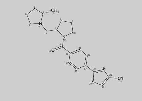 C[C@H]1CCCN1CC1CCCN1C(=O)c1ccc(-c2cc(C#N)cs2)cc1